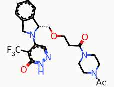 CC(=O)N1CCN(C(=O)CCOC[C@H]2c3ccccc3CN2c2cn[nH]c(=O)c2C(F)(F)F)CC1